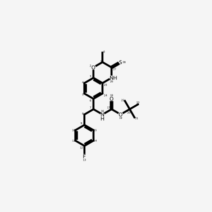 CC1Oc2ccc(C(Cc3ccc(F)cc3)NC(=O)OC(C)(C)C)cc2NC1=S